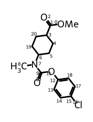 COC(=O)C1CCC(N(C)C(=O)Oc2ccc(Cl)cc2)CC1